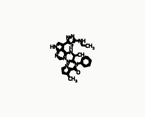 CCNc1nnc(-c2c[nH]c3ncnc(NC(C)c4nn5ccc(C)c5c(=O)n4-c4ccccc4)c23)s1